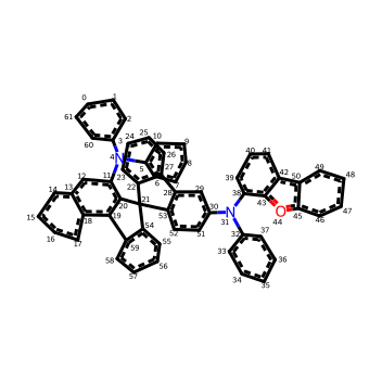 c1ccc(N(c2ccccc2)c2cc3ccccc3c3c2C2(c4ccccc4-c4cc(N(c5ccccc5)c5cccc6c5oc5ccccc56)ccc42)c2ccccc2-3)cc1